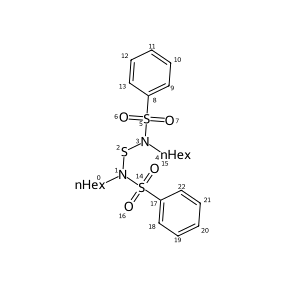 CCCCCCN(SN(CCCCCC)S(=O)(=O)c1ccccc1)S(=O)(=O)c1ccccc1